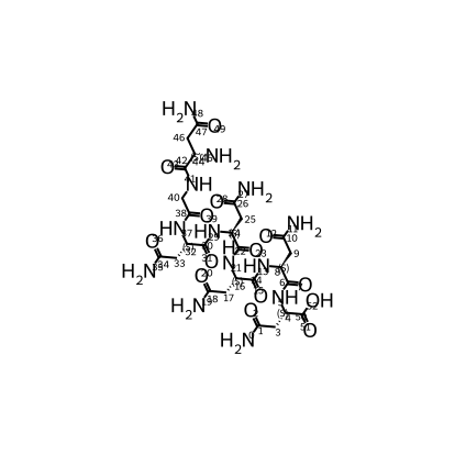 NC(=O)C[C@H](NC(=O)[C@H](CC(N)=O)NC(=O)[C@H](CC(N)=O)NC(=O)[C@H](CC(N)=O)NC(=O)[C@H](CC(N)=O)NC(=O)CNC(=O)[C@@H](N)CC(N)=O)C(=O)O